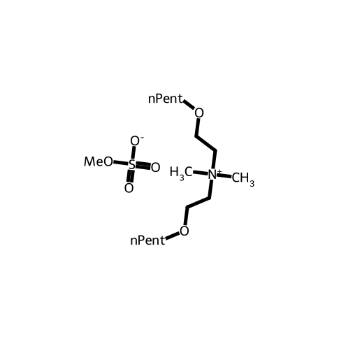 CCCCCOCC[N+](C)(C)CCOCCCCC.COS(=O)(=O)[O-]